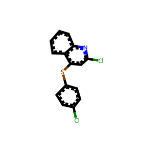 Clc1ccc(Sc2cc(Cl)nc3ccccc23)cc1